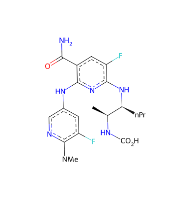 CCC[C@H](Nc1nc(Nc2cnc(NC)c(F)c2)c(C(N)=O)cc1F)[C@H](C)NC(=O)O